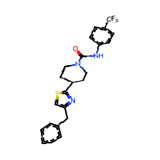 O=C(Nc1ccc(C(F)(F)F)cc1)N1CCC(c2nc(Cc3ccccc3)cs2)CC1